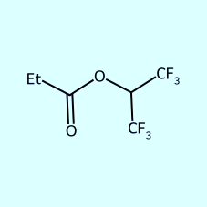 CCC(=O)OC(C(F)(F)F)C(F)(F)F